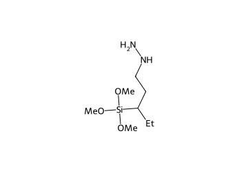 CCC(CCNN)[Si](OC)(OC)OC